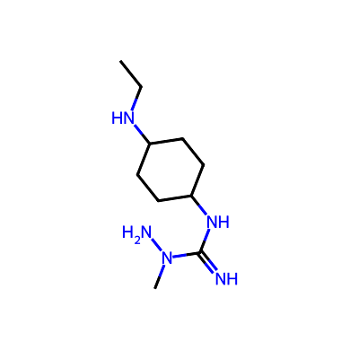 CCNC1CCC(NC(=N)N(C)N)CC1